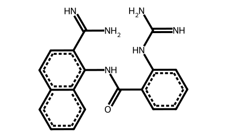 N=C(N)Nc1ccccc1C(=O)Nc1c(C(=N)N)ccc2ccccc12